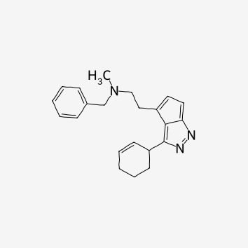 CN(CCC1=CC=C2N=NC(C3C=CCCC3)=C12)Cc1ccccc1